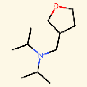 CC(C)N(CC1CCOC1)C(C)C